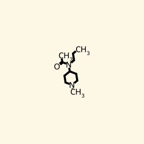 CCCN(C(C)=O)C1CCN(C)CC1